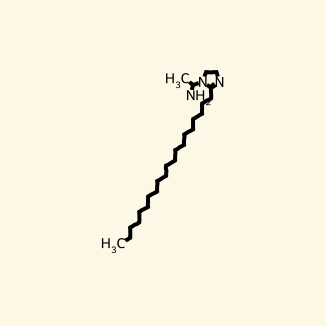 CCCCCCCCCCCCCCCCCCCCC1=NCCN1C(C)N